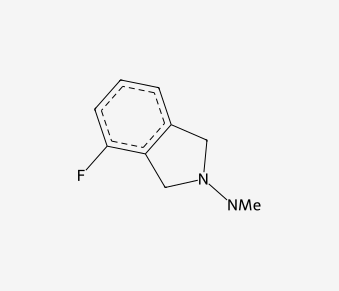 CNN1Cc2cccc(F)c2C1